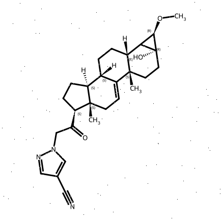 CO[C@@H]1C2[C@H]3CC[C@@H]4C(=CC[C@]5(C)[C@@H](C(=O)Cn6cc(C#N)cn6)CC[C@@H]45)[C@@]3(C)CC[C@@]21O